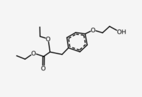 CCOC(=O)C(Cc1ccc(OCCO)cc1)OCC